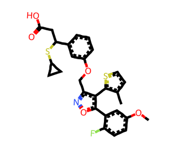 COc1ccc(F)c(-c2onc(COc3cccc(C(CC(=O)O)SC4CC4)c3)c2-c2sccc2C)c1